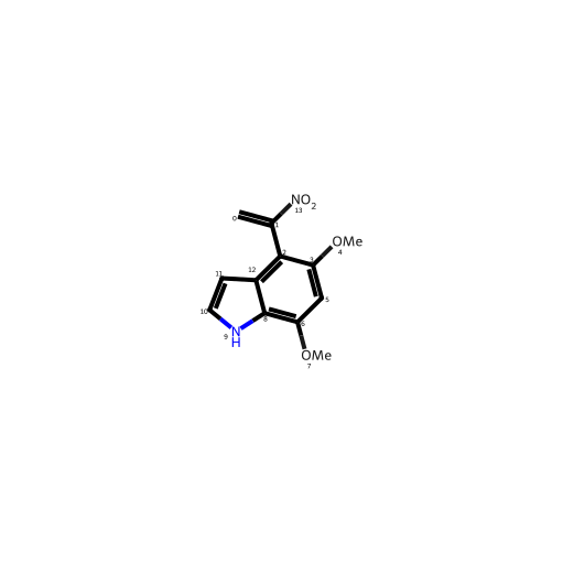 C=C(c1c(OC)cc(OC)c2[nH]ccc12)[N+](=O)[O-]